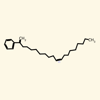 C=C(CCCCCCCC/C=C\CCCCCCCC)c1ccccc1